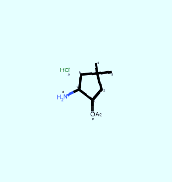 CC(=O)OC1CC(C)(C)CC1N.Cl